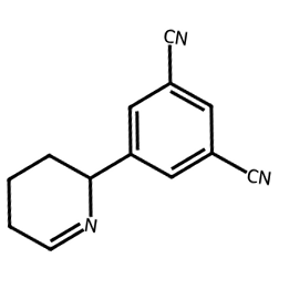 N#Cc1cc(C#N)cc(C2CCCC=N2)c1